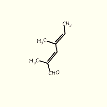 C/C=C(C)/C=C(\C)C=O